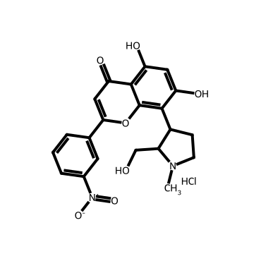 CN1CCC(c2c(O)cc(O)c3c(=O)cc(-c4cccc([N+](=O)[O-])c4)oc23)C1CO.Cl